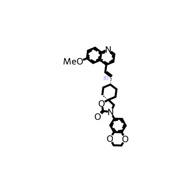 COc1ccc2nccc(/C=C/[C@H]3CC[C@]4(CC3)CN(c3ccc5c(c3)OCCO5)C(=O)O4)c2c1